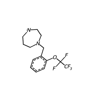 FC(F)(F)C(F)(F)Oc1ccccc1CN1CCC[N]CC1